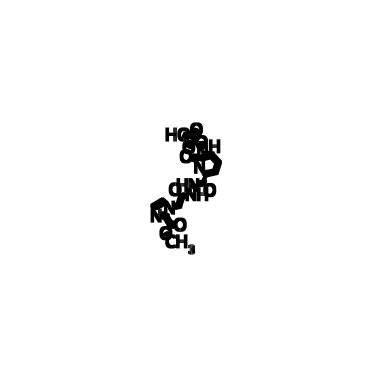 COC(=O)c1nccn1CC(=O)NNC(=O)[C@@H]1CC[C@@H]2CN1C(=O)N2OS(=O)(=O)O